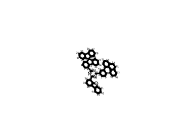 c1cc(-c2nc(-c3cccc4c3-c3ccccc3C43c4ccccc4-c4ccccc43)nc(-c3cccc4c3oc3ccccc34)n2)cc(-c2cccc3ccc4ccccc4c23)c1